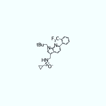 CC(C)(C)Cn1cc(CN[S+]([O-])C2CC2)c2ccc(-c3ccccc3C(F)(F)F)nc21